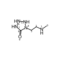 CNCCN1NNNC1=O